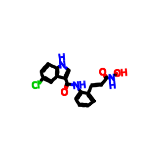 O=C(C=Cc1ccccc1NC(=O)c1c[nH]c2ccc(Cl)cc12)NO